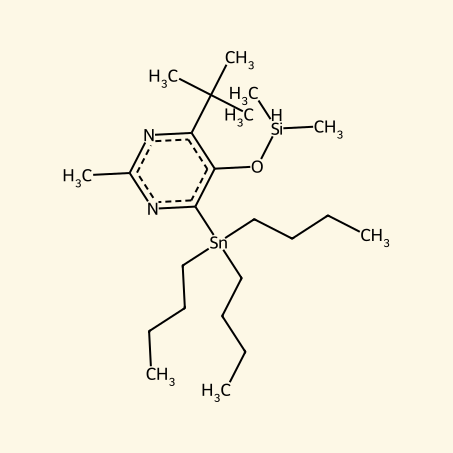 CCC[CH2][Sn]([CH2]CCC)([CH2]CCC)[c]1nc(C)nc(C(C)(C)C)c1O[SiH](C)C